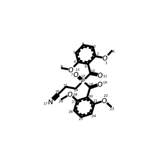 COc1cccc(OC)c1C(=O)P(=O)(CCC#N)C(=O)c1c(OC)cccc1OC